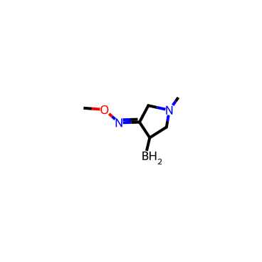 BC1CN(C)CC1=NOC